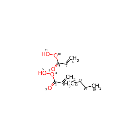 C=CC(=O)OO.C=CC(=O)OO.CCCC